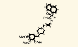 CCN(C[C@@H]1C[C@H]1CN1CCN(Cc2ccc(OC)c(OC)c2OC)CC1)S(=O)(=O)c1cccc2cnccc12